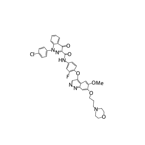 COc1cc2c(Oc3ccc(NC(=O)c4nn(-c5ccc(Cl)cc5)c5ccccc5c4=O)cc3F)cnnc2cc1OCCCN1CCOCC1